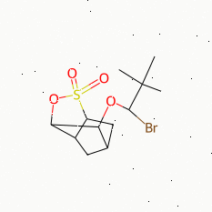 CC(C)(C)C(Br)OC1C2CC3C1OS(=O)(=O)C3C2